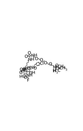 CC(C)(C)OC(=O)NCCOCCOCCOCCOCCNc1c(NCCCCCCO[C@]2(C(=O)O)C[C@H](O)[C@@H](NC(=O)CF)[C@H]([C@H](O)[C@H](O)CNC(=O)Cc3ccc(Cl)cc3)O2)c(=O)c1=O